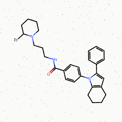 CCC1CCCCN1CCCNC(=O)c1ccc(-n2c(-c3ccccc3)cc3c2CCCC3)cc1